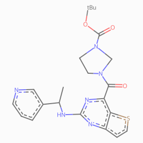 CC(Nc1nc(C(=O)N2CCN(C(=O)OC(C)(C)C)C2)c2sccc2n1)c1cccnc1